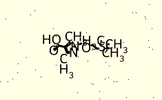 Cc1nn(COCC[Si](C)(C)C)c(C)c1C(=O)O